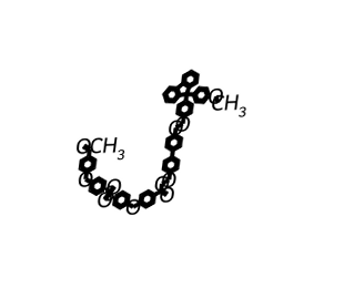 COc1ccc(C2(c3ccc(OOc4ccc(-c5ccc(OOC(=O)c6ccc(Oc7ccc(S(=O)(=O)c8ccc(Oc9ccc(C(C)=O)cc9)cc8)cc7)cc6)cc5)cc4)cc3)c3ccccc3-c3ccccc32)cc1